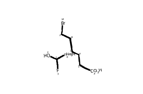 CCCCCCCC(O)F.O=C(O)CCCCCBr